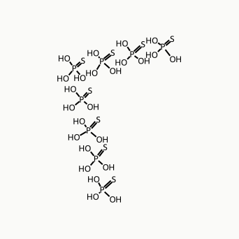 OP(O)(O)=S.OP(O)(O)=S.OP(O)(O)=S.OP(O)(O)=S.OP(O)(O)=S.OP(O)(O)=S.OP(O)(O)=S.OP(O)(O)=S